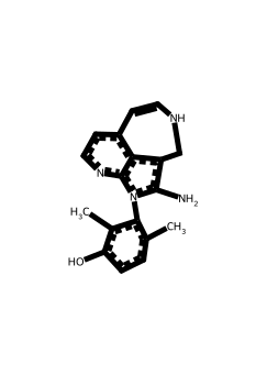 Cc1ccc(O)c(C)c1-n1c(N)c2c3c(ccnc31)C=CNC2